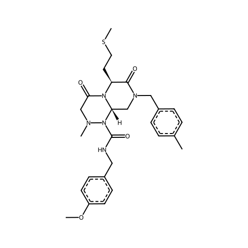 COc1ccc(CNC(=O)N2[C@H]3CN(Cc4ccc(C)cc4)C(=O)[C@H](CCSC)N3C(=O)CN2C)cc1